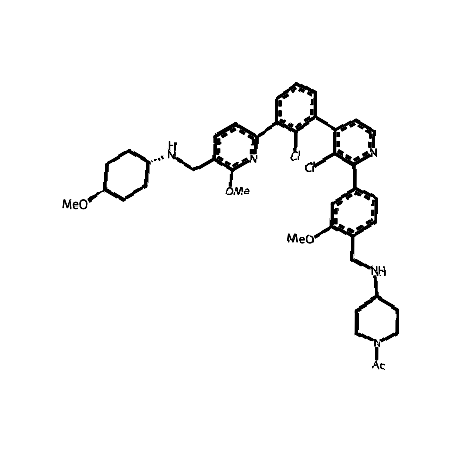 COc1cc(-c2nccc(-c3cccc(-c4ccc(CN[C@H]5CC[C@H](OC)CC5)c(OC)n4)c3Cl)c2Cl)ccc1CNC1CCN(C(C)=O)CC1